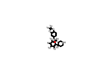 [2H]c1c([2H])c(C2([2H])CCNC[C@H]2C([2H])([2H])Oc2ccc3c(c2)OC([2H])([2H])O3)c([2H])c([2H])c1F